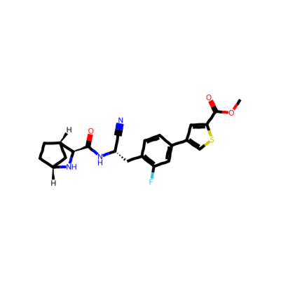 COC(=O)c1cc(-c2ccc(C[C@@H](C#N)NC(=O)[C@H]3N[C@@H]4CC[C@H]3C4)c(F)c2)cs1